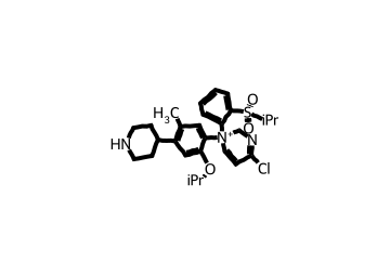 Cc1cc([N+]2(c3ccccc3S(=O)(=O)C(C)C)C=CC(Cl)=NC2)c(OC(C)C)cc1C1CCNCC1